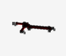 CCCCCCCCCCCCCCNC(=O)OC[C@H](CS(=O)(=O)C[C@H](N)C(=O)N[C@@H](CO)C(=O)NCCOCCOCCOCCOCCOCCOCCOCCOCCOCCOCCOCCOCCC(=O)NCC(N)=O)OC(=O)NCCCCCCCCCCCCCC